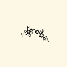 CCn1c(=O)[nH]c2cc(CN3CCN(c4ccc(C(N)=O)nc4C(F)(F)F)CC3)sc2c1=O